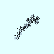 C=CCc1cc(S(=O)(=O)c2ccc(OC(=O)Nc3cccc(NC(=O)OCC(COCC(COC(=O)C=C)(COC(=O)C=C)COC(=O)C=C)(COC(=O)C=C)COC(=O)C=C)c3C)c(CC=C)c2)ccc1O